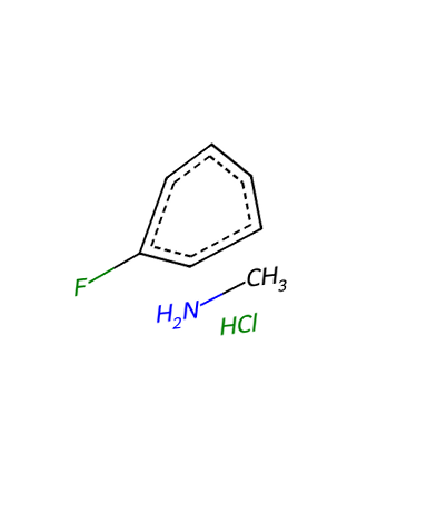 CN.Cl.Fc1ccccc1